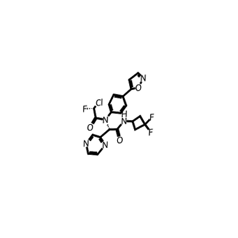 O=C(NC1CC(F)(F)C1)[C@H](c1cnccn1)N(C(=O)[C@H](F)Cl)c1ccc(-c2ccno2)cc1